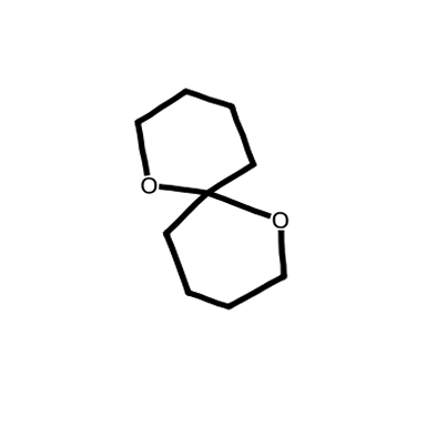 C1CCC2(CCCCO2)OC1